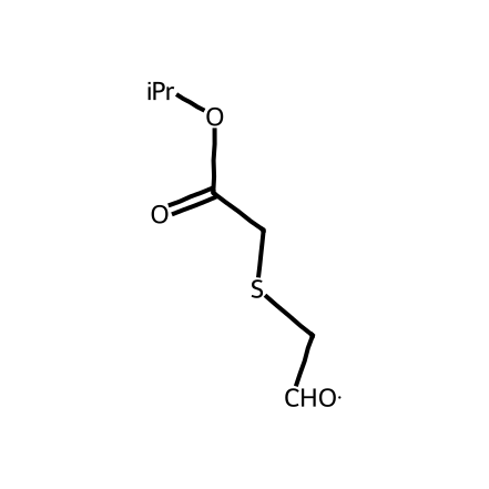 CC(C)OC(=O)CSC[C]=O